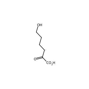 O=C(O)C(=O)[CH]CCCO